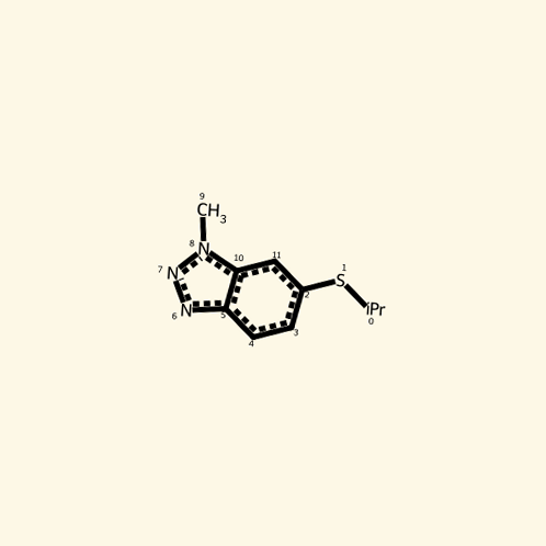 CC(C)Sc1ccc2nnn(C)c2c1